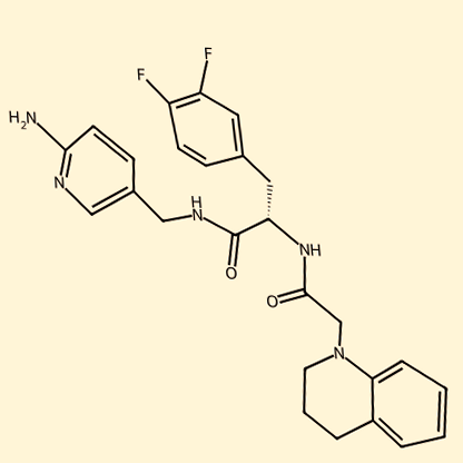 Nc1ccc(CNC(=O)[C@H](Cc2ccc(F)c(F)c2)NC(=O)CN2CCCc3ccccc32)cn1